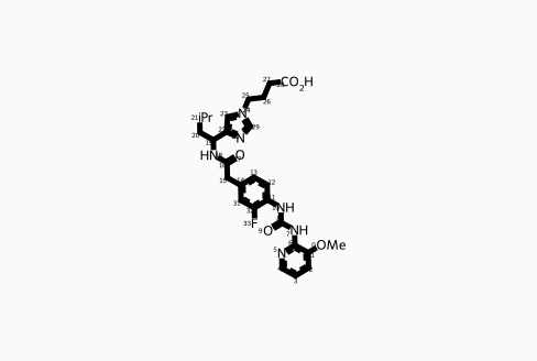 COc1cccnc1NC(=O)Nc1ccc(CC(=O)NC(CC(C)C)c2cn(CCCC(=O)O)cn2)cc1F